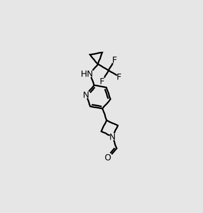 O=CN1CC(c2ccc(NC3(C(F)(F)F)CC3)nc2)C1